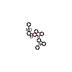 c1ccc(-c2nc3ccc4oc5cc(N(c6ccc7c(c6)c6ccccc6n7-c6ccccc6)c6ccccc6-c6ccccc6)ccc5c4c3o2)cc1